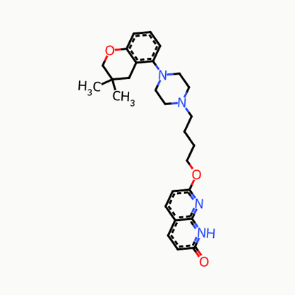 CC1(C)COc2cccc(N3CCN(CCCCOc4ccc5ccc(=O)[nH]c5n4)CC3)c2C1